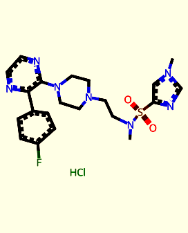 CN(CCN1CCN(c2nccnc2-c2ccc(F)cc2)CC1)S(=O)(=O)c1cn(C)cn1.Cl